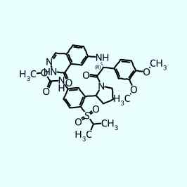 COC(=O)Nc1ccc(S(=O)(=O)C(C)C)c(C2CCCN2C(=O)[C@H](Nc2ccc3cn[nH]c(=O)c3c2)c2ccc(OC)c(OC)c2)c1